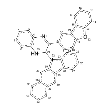 c1ccc2c(c1)N=C(c1ccc3oc4ccccc4c3c1)C(n1c3ccccc3c3cc4ccccc4cc31)N2